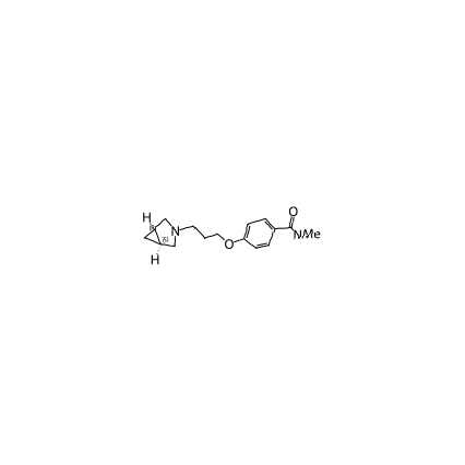 CNC(=O)c1ccc(OCCCN2C[C@H]3C[C@H]3C2)cc1